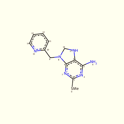 CSc1nc(N)c2c(n1)N(Cc1ccccn1)CN2